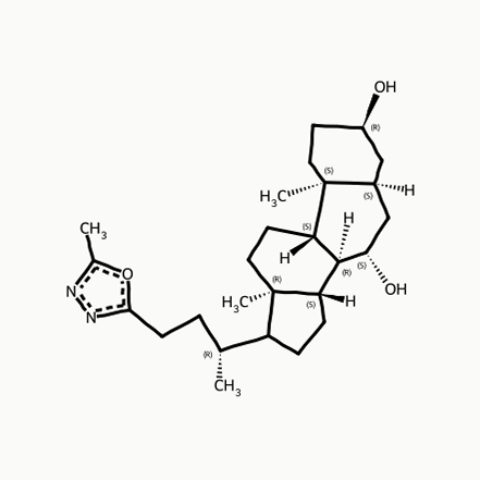 Cc1nnc(CC[C@@H](C)C2CC[C@H]3[C@@H]4[C@@H](O)C[C@@H]5C[C@H](O)CC[C@]5(C)[C@H]4CC[C@]23C)o1